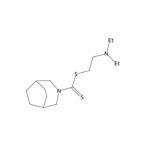 CCN(CC)CCSC(=S)N1CC2CCC(CC2)C1